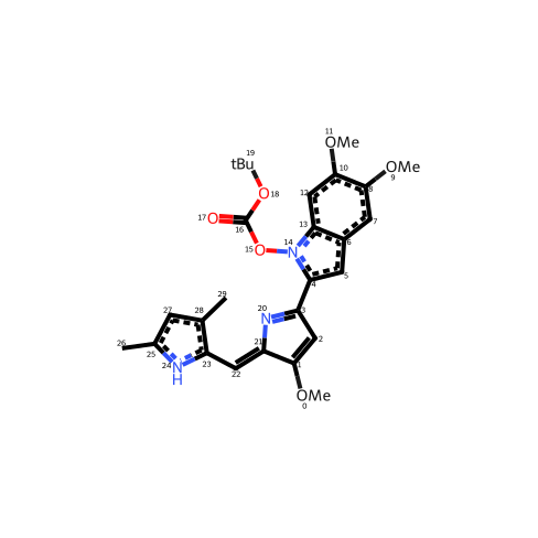 COC1=CC(c2cc3cc(OC)c(OC)cc3n2OC(=O)OC(C)(C)C)=NC1=Cc1[nH]c(C)cc1C